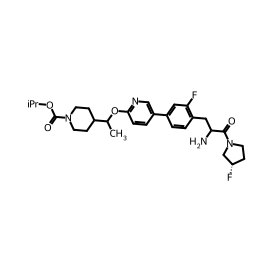 CC(C)OC(=O)N1CCC(C(C)Oc2ccc(-c3ccc(CC(N)C(=O)N4CC[C@H](F)C4)c(F)c3)cn2)CC1